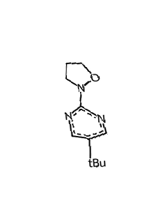 CC(C)(C)c1cnc(N2CCCO2)nc1